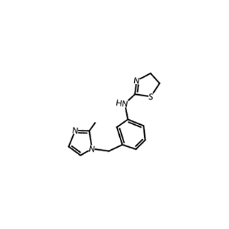 Cc1nccn1Cc1cccc(NC2=NCCS2)c1